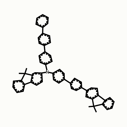 CC1(C)c2ccccc2-c2ccc(-c3ccc(-c4ccc(N(c5ccc(-c6ccc(-c7ccccc7)cc6)cc5)c5ccc6c(c5)C(C)(C)c5ccccc5-6)cc4)cc3)cc21